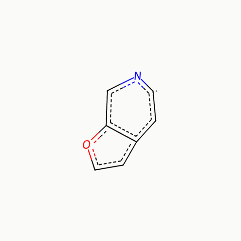 [c]1cc2ccoc2cn1